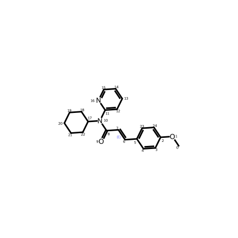 COc1ccc(/C=C/C(=O)N(c2ccccn2)C2CCCCC2)cc1